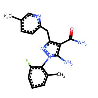 Cc1cccc(F)c1-n1nc(Cc2ccc(C(F)(F)F)cn2)c(C(N)=O)c1N